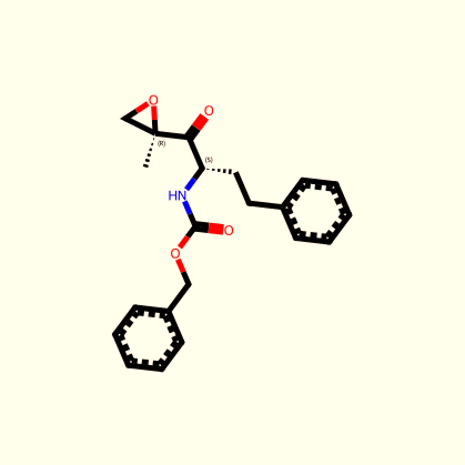 C[C@]1(C(=O)[C@H](CCc2ccccc2)NC(=O)OCc2ccccc2)CO1